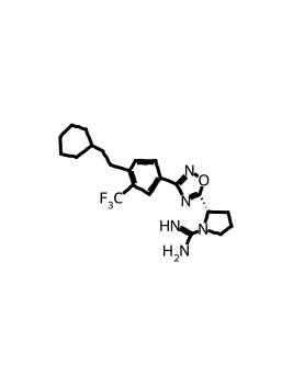 N=C(N)N1CCC[C@H]1c1nc(-c2ccc(CCC3CCCCC3)c(C(F)(F)F)c2)no1